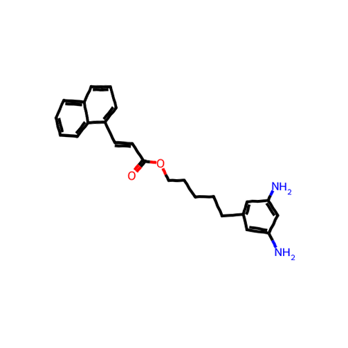 Nc1cc(N)cc(CCCCCOC(=O)C=Cc2cccc3ccccc23)c1